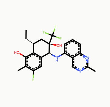 CC[C@@H]1C[C@](O)(C(F)(F)F)[C@@H](Nc2cccc3nc(C)ncc23)c2cc(F)c(C)c(O)c21